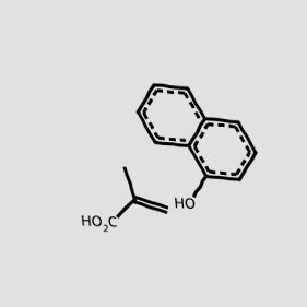 C=C(C)C(=O)O.Oc1cccc2ccccc12